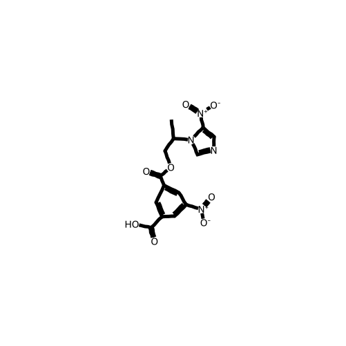 CC(COC(=O)c1cc(C(=O)O)cc([N+](=O)[O-])c1)n1cncc1[N+](=O)[O-]